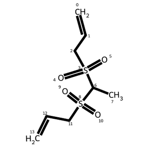 C=CCS(=O)(=O)C(C)S(=O)(=O)CC=C